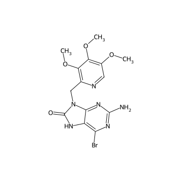 COc1cnc(Cn2c(=O)[nH]c3c(Br)nc(N)nc32)c(OC)c1OC